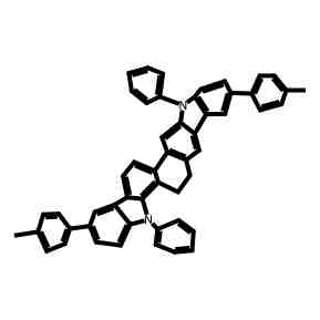 Cc1ccc(-c2ccc3c(c2)c2cc4c(cc2n3-c2ccccc2)-c2ccc3c5cc(-c6ccc(C)cc6)ccc5n(-c5ccccc5)c3c2CC4)cc1